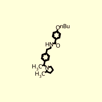 CCCCOc1ccc(C(=O)NCCc2ccc(C(C)N3CCCC3C)cc2)cc1